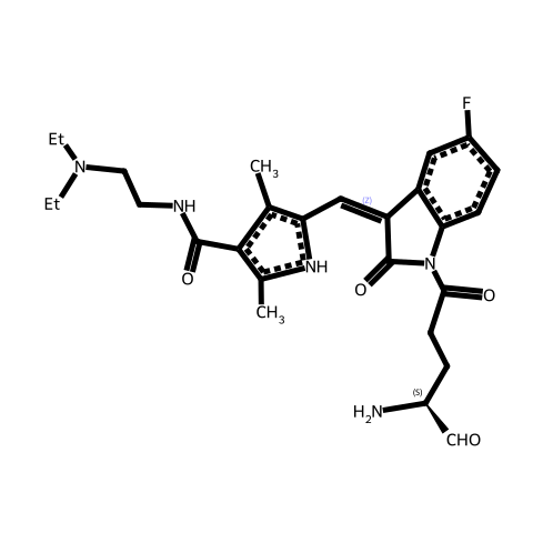 CCN(CC)CCNC(=O)c1c(C)[nH]c(/C=C2\C(=O)N(C(=O)CC[C@H](N)C=O)c3ccc(F)cc32)c1C